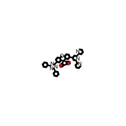 c1ccc(-c2nc(-c3ccccc3)nc(-c3ccc4c(c3)C3(c5cc(-c6cc(-c7ccccn7)nc(-c7ccccn7)c6)ccc5O4)c4ccccc4-c4ccccc43)n2)cc1